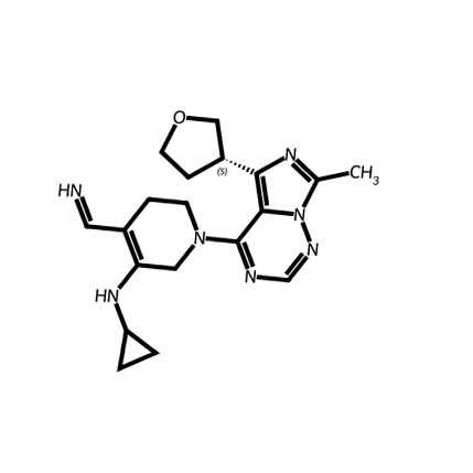 Cc1nc([C@@H]2CCOC2)c2c(N3CCC(C=N)=C(NC4CC4)C3)ncnn12